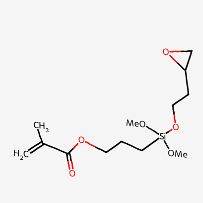 C=C(C)C(=O)OCCC[Si](OC)(OC)OCCC1CO1